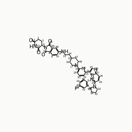 O=C1CCC(N2C(=O)c3ccc(NCCC4CCN(c5cccc(-c6cnc7ccc(N8CCC[C@@H]8c8cccc(F)c8)nn67)n5)CC4)cc3C2=O)C(=O)N1